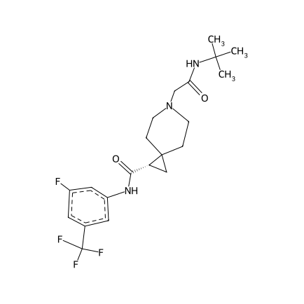 CC(C)(C)NC(=O)CN1CCC2(CC1)C[C@@H]2C(=O)Nc1cc(F)cc(C(F)(F)F)c1